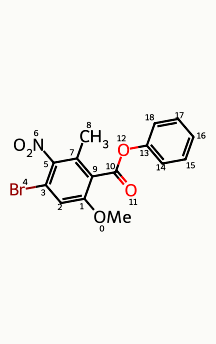 COc1cc(Br)c([N+](=O)[O-])c(C)c1C(=O)Oc1ccccc1